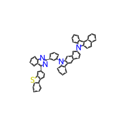 c1cc(-c2nc(-c3ccc4c(c3)sc3ccccc34)c3ccccc3n2)cc(-n2c3ccccc3c3cc4ccc(-n5c6ccccc6c6c7ccccc7ccc65)cc4cc32)c1